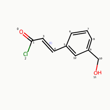 O=C(Cl)/C=C/c1cccc(CO)c1